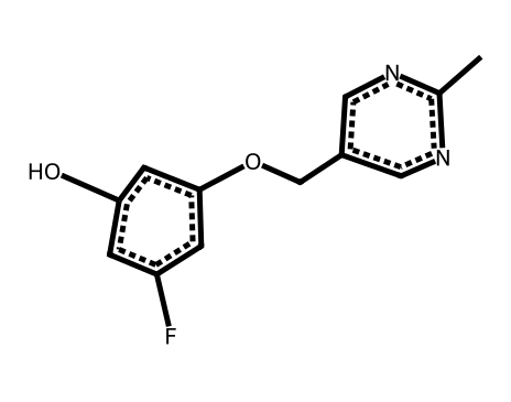 Cc1ncc(COc2cc(O)cc(F)c2)cn1